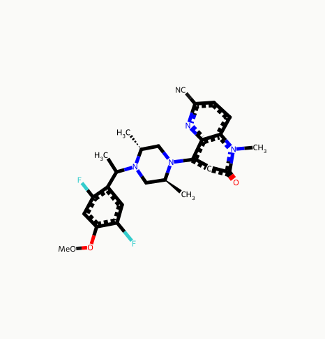 COOc1cc(F)c(C(C)N2C[C@H](C)N(c3cc(=O)n(C)c4ccc(C#N)nc34)C[C@H]2C)cc1F